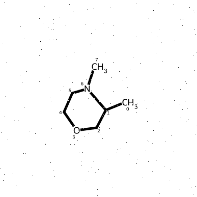 CC1[CH]OCCN1C